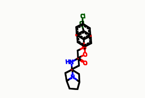 O=C(COc1ccc(Cl)cc1)NC1CC2CCC(C1)N2CCCOc1ccc(Cl)cc1